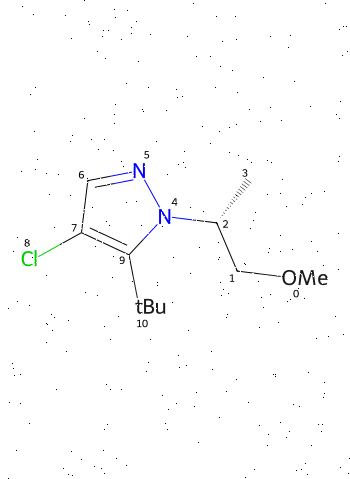 COC[C@@H](C)n1ncc(Cl)c1C(C)(C)C